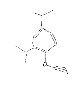 CC(C)c1ccc(OC#N)c(C(C)C)c1